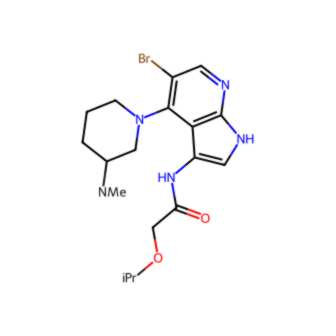 CNC1CCCN(c2c(Br)cnc3[nH]cc(NC(=O)COC(C)C)c23)C1